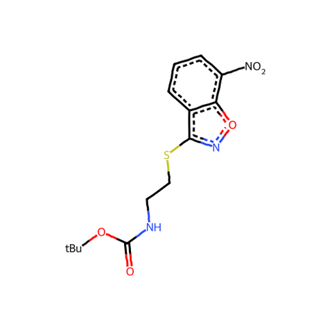 CC(C)(C)OC(=O)NCCSc1noc2c([N+](=O)[O-])cccc12